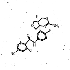 N#Cc1cnc(C(=O)Nc2ccc(F)c([C@]34COC[C@@]3(F)CSC(N)=N4)c2)c(Cl)c1